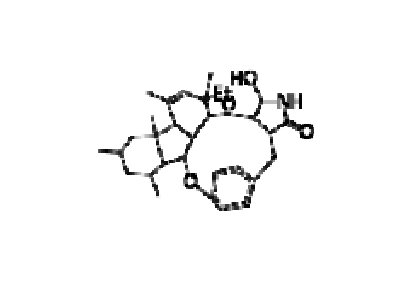 CCC1(C)C=C(C)C2C3C(Oc4ccc(cc4)CC4C(=O)NC(O)C4C(=O)C31)C1C(C)CC(C)CC21C